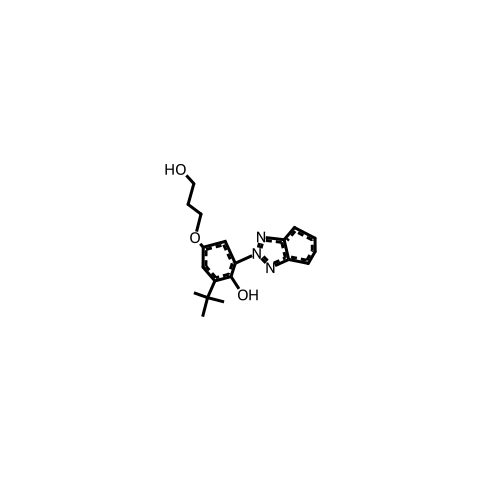 CC(C)(C)c1cc(OCCCO)cc(-n2nc3ccccc3n2)c1O